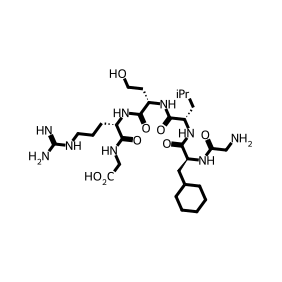 CC(C)C[C@H](NC(=O)[C@H](CC1CCCCC1)NC(=O)CN)C(=O)N[C@@H](CCO)C(=O)N[C@@H](CCCNC(=N)N)C(=O)NCC(=O)O